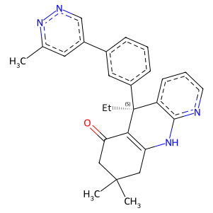 CC[C@@]1(c2cccc(-c3cnnc(C)c3)c2)C2=C(CC(C)(C)CC2=O)Nc2ncccc21